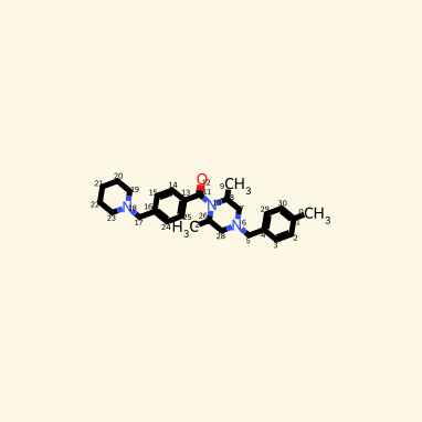 Cc1ccc(CN2CC(C)N(C(=O)c3ccc(CN4CCCCC4)cc3)C(C)C2)cc1